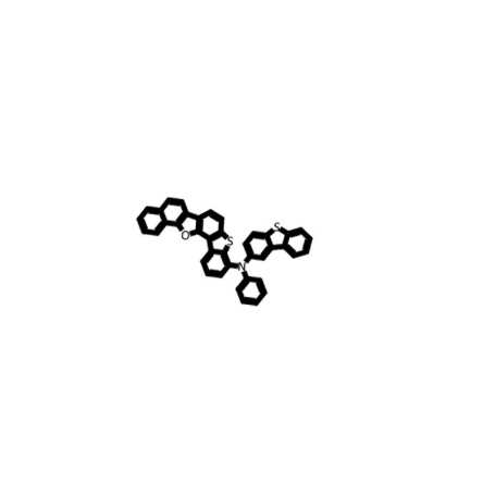 c1ccc(N(c2ccc3sc4ccccc4c3c2)c2cccc3c2sc2ccc4c5ccc6ccccc6c5oc4c23)cc1